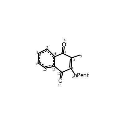 CCCCCC1=C(C)C(=O)c2ccccc2C1=O